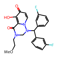 COCCN1CN(C(c2cccc(F)c2)c2cccc(F)c2)n2ccc(=O)c(O)c2C1=O